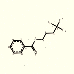 O=C(SCCCC(F)(F)F)c1ccccc1